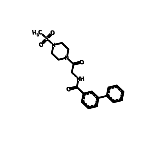 CS(=O)(=O)N1CCN(C(=O)CNC(=O)c2cccc(-c3ccccc3)c2)CC1